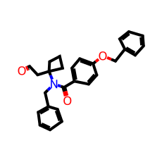 O=CCC1(N(Cc2ccccc2)C(=O)c2ccc(OCc3ccccc3)cc2)CCC1